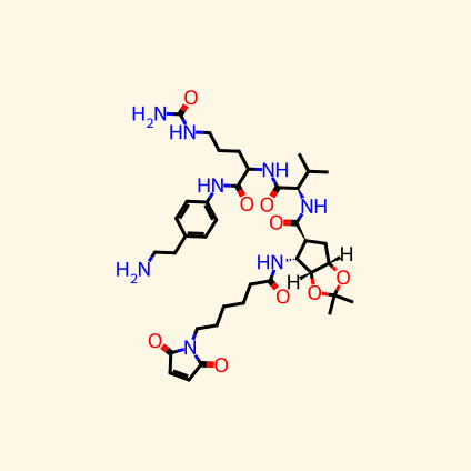 CC(C)[C@@H](NC(=O)[C@H]1C[C@@H]2OC(C)(C)O[C@@H]2[C@@H]1NC(=O)CCCCCN1C(=O)C=CC1=O)C(=O)NC(CCCNC(N)=O)C(=O)Nc1ccc(CCN)cc1